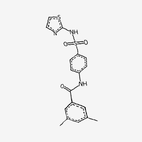 Cc1cc(C)cc(C(=O)Nc2ccc(S(=O)(=O)Nc3nccs3)cc2)c1